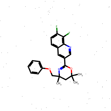 CC1(COc2ccccc2)CC(C)(C)OC(c2cnc3c(F)c(F)ccc3c2)=N1